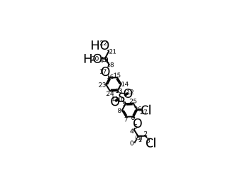 C[C@H](CCl)COc1ccc(S(=O)(=O)c2ccc(OC[C@@H](O)CO)cc2)cc1Cl